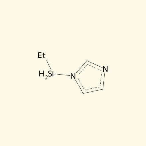 CC[SiH2]n1ccnc1